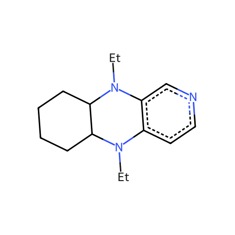 CCN1c2ccncc2N(CC)C2CCCCC21